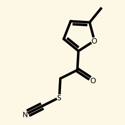 Cc1ccc(C(=O)CSC#N)o1